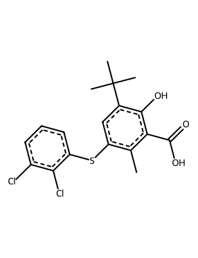 Cc1c(Sc2cccc(Cl)c2Cl)cc(C(C)(C)C)c(O)c1C(=O)O